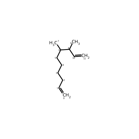 C=CCCCCC(C)C(C)C=C